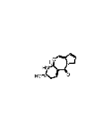 O=C1C2=CC[C@@H](O)N[C@H]2OC=C2C=CCN12